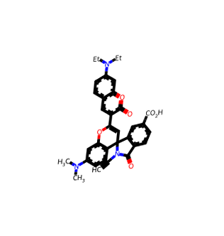 C#CN1C(=O)c2ccc(C(=O)O)cc2C12C=C(c1cc3ccc(N(CC)CC)cc3oc1=O)Oc1cc(N(C)C)ccc12